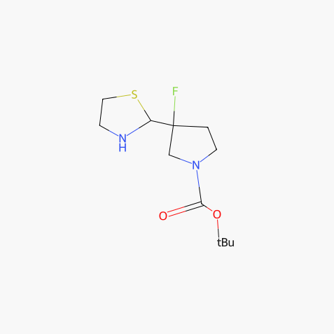 CC(C)(C)OC(=O)N1CCC(F)(C2NCCS2)C1